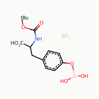 B.CC(C)(C)OC(=O)NC(Cc1ccc(OB(O)O)cc1)C(=O)O